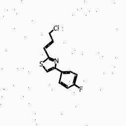 Fc1ccc(-c2csc(C=CCCl)n2)cc1